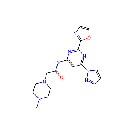 CN1CCN(CC(=O)Nc2cc(-n3cccn3)nc(-c3ncco3)n2)CC1